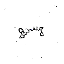 O=C(/C=C/C(=O)ONCC1CC2CC2N1c1cccnc1)ONCC1CC2CC2N1c1cccnc1